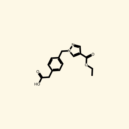 CCOC(=O)c1cnn(Cc2ccc(CC(=O)O)cc2)c1